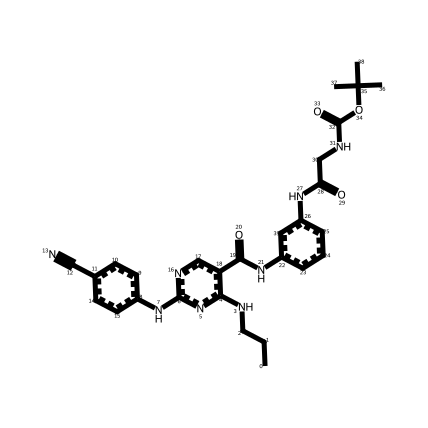 CCCNc1nc(Nc2ccc(C#N)cc2)ncc1C(=O)Nc1cccc(NC(=O)CNC(=O)OC(C)(C)C)c1